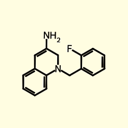 NC1=Cc2ccccc2N(Cc2ccccc2F)C1